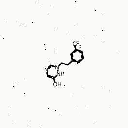 OC1=CN=CN(CCc2cccc(C(F)(F)F)c2)N1